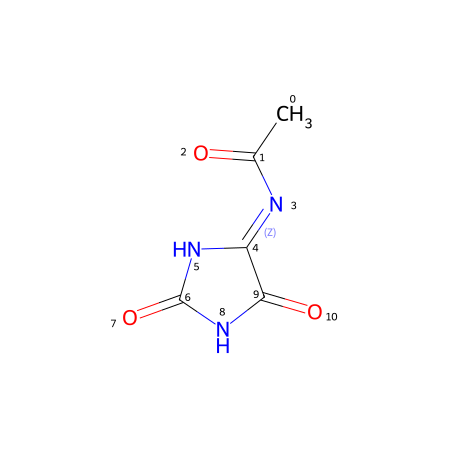 CC(=O)/N=C1\NC(=O)NC1=O